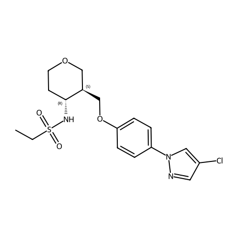 CCS(=O)(=O)N[C@@H]1CCOC[C@H]1COc1ccc(-n2cc(Cl)cn2)cc1